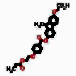 C=CC(=O)OCCOc1ccc(C(=O)Oc2ccc3c(c2)C(C)c2cc(OCC(=O)O)ccc2-3)cc1